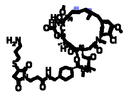 COc1cc2cc(c1Cl)N(C)C(=O)C[C@H](CC(=O)[C@@H](C)N(C)C(=O)[C@H]1CC[C@H](CNC(=O)CCN3C(=O)CC(SCCCN)C3=O)CC1)[C@]1(C)O[C@H]1[C@H](C)[C@@H]1C[C@@](O)(NC(=O)O1)[C@H](OC)/C=C/C=C(\C)C2